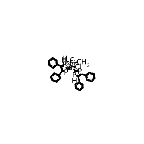 C[Si](C)=[Zr]([Cl])([Cl])([c]1pc(-c2ccccc2)c(-c2ccccc2)[pH]1)[c]1pc(-c2ccccc2)c(-c2ccccc2)[pH]1